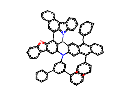 c1ccc(-c2cc(-c3ccccc3)cc(N3c4cc5c(-c6ccccc6)c6ccccc6c(-c6ccccc6)c5cc4B4c5c3cc3c(oc6ccccc63)c5-c3cc5ccccc5c5c6ccccc6n4c35)c2)cc1